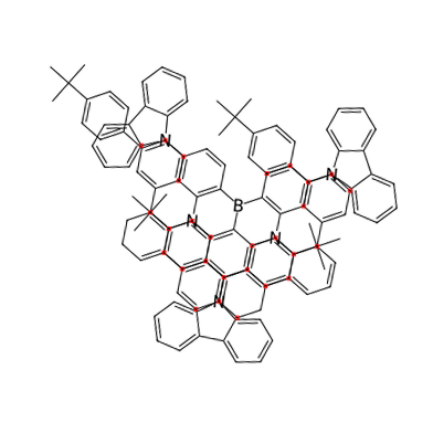 CC(C)(C)c1ccc(C2=CCCC(C3=CC=CC(c4cccc(-c5ccc(C(C)(C)C)cc5)c4)C3N3c4cc(-n5c6ccccc6c6ccccc65)ccc4B4c5ccc(-n6c7ccccc7c7ccccc76)cc5N(C5=C(c6cccc(-c7ccc(C(C)(C)C)cc7)c6)CCC=C5c5cccc(-c6ccc(C(C)(C)C)cc6)c5)c5cc(-n6c7ccccc7c7ccccc76)cc3c54)=C2)cc1